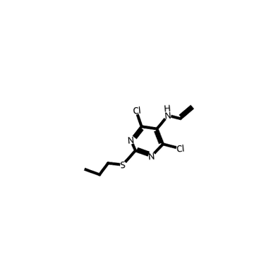 C=CNc1c(Cl)nc(SCCC)nc1Cl